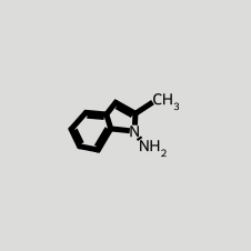 Cc1cc2ccccc2n1N